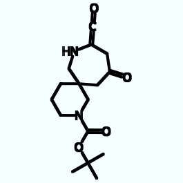 CC(C)(C)OC(=O)N1CCCC2(CNC(=C=O)CC(=O)C2)C1